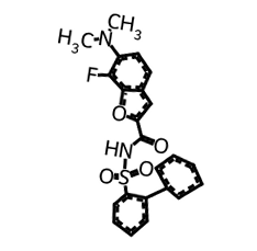 CN(C)c1ccc2cc(C(=O)NS(=O)(=O)c3ccccc3-c3ccccc3)oc2c1F